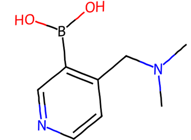 CN(C)Cc1ccncc1B(O)O